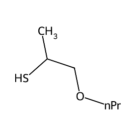 [CH2]CCOCC(C)S